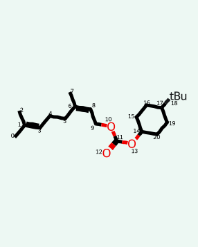 CC(C)=CCCC(C)=CCOC(=O)OC1CCC(C(C)(C)C)CC1